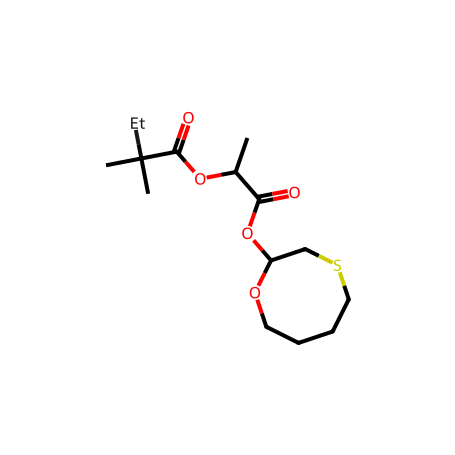 CCC(C)(C)C(=O)OC(C)C(=O)OC1CSCCCCO1